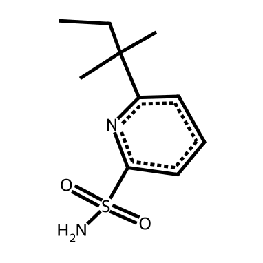 CCC(C)(C)c1cccc(S(N)(=O)=O)n1